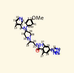 COc1ccc(N(Cc2cnccc2C)C2CCN(C(C)CCNC(=O)c3c(C)cc(-n4cnnn4)cc3C)CC2)cc1